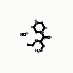 CCSC(CN)C(=O)N1CCOCC1.Cl